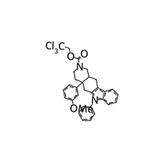 COc1cccc(C23CCN(C(=O)OCC(Cl)(Cl)Cl)CC2Cc2c(n(-c4ccccc4)c4ccccc24)C3)c1